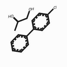 CC(O)CO.Clc1ccc(-c2ccccc2)cc1